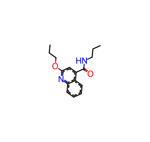 CCCNC(=O)c1cc(OCCC)nc2ccccc12